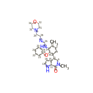 Cc1ccc(-c2cn(C)c(=O)c3[nH]ccc23)c(Oc2ccccc2)c1N/C=N/CCN1CCOCC1